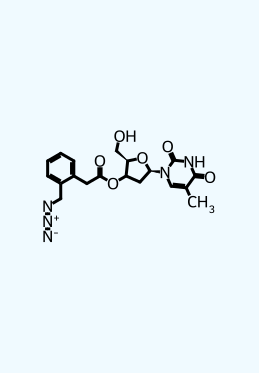 Cc1cn([C@H]2CC(OC(=O)Cc3ccccc3CN=[N+]=[N-])[C@@H](CO)O2)c(=O)[nH]c1=O